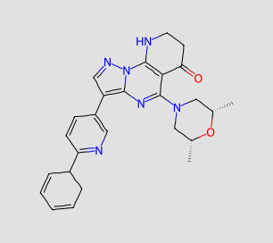 C[C@@H]1CN(c2nc3c(-c4ccc(C5C=CC=CC5)nc4)cnn3c3c2C(=O)CCN3)C[C@H](C)O1